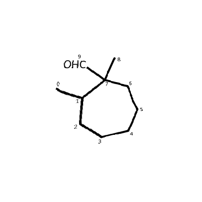 CC1CCCCCC1(C)C=O